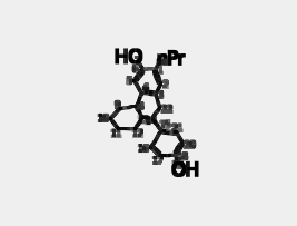 CCCc1cc2c(cc1O)C1CCCCC1C(c1ccc(O)cc1)C2